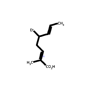 CC=CC(CC)C/C=C(\C)C(=O)O